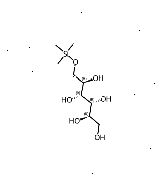 C[Si](C)(C)OC[C@@H](O)[C@@H](O)[C@H](O)[C@H](O)CO